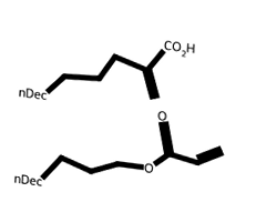 C=C(CCCCCCCCCCCCC)C(=O)O.C=CC(=O)OCCCCCCCCCCCCC